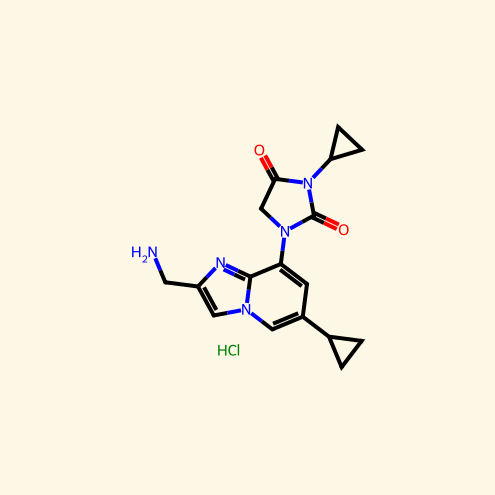 Cl.NCc1cn2cc(C3CC3)cc(N3CC(=O)N(C4CC4)C3=O)c2n1